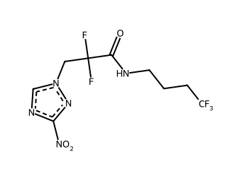 O=C(NCCCC(F)(F)F)C(F)(F)Cn1cnc([N+](=O)[O-])n1